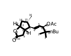 CCCCC(C)(C)[C@@H](/C=C/[C@H]1[C@@H]2CC(=O)O[C@@H]2C[C@@H]1C)OC(C)=O